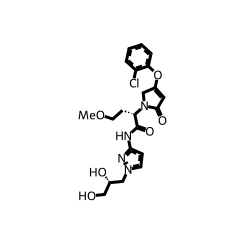 COCC[C@@H](C(=O)Nc1ccn(C[C@@H](O)CO)n1)N1CC(Oc2ccccc2Cl)=CC1=O